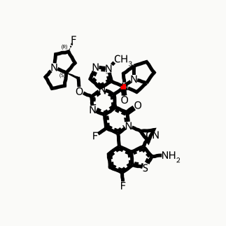 Cn1nccc1C(=O)N1C2CCC1CN(c1nc(OC[C@@]34CCCN3C[C@H](F)C4)nc3c(F)c(-c4ccc(F)c5sc(N)c(C#N)c45)n(C4CC4)c(=O)c13)C2